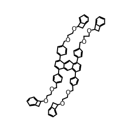 c1ccc2c(c1)CC2OCCOCc1ccc(-c2ccc(-c3ccc(COCCOC4Cc5ccccc54)cc3)c3cc4c(-c5ccc(COCCOC6Cc7ccccc76)cc5)ccc(-c5ccc(COCCOC6Cc7ccccc76)cc5)c4cc23)cc1